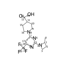 CC1CCN1c1nc(N2CCC(C(=O)O)CC2)cc(C(F)(F)F)n1